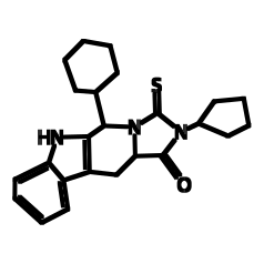 O=C1C2Cc3c([nH]c4ccccc34)C(C3CCCCC3)N2C(=S)N1C1CCCC1